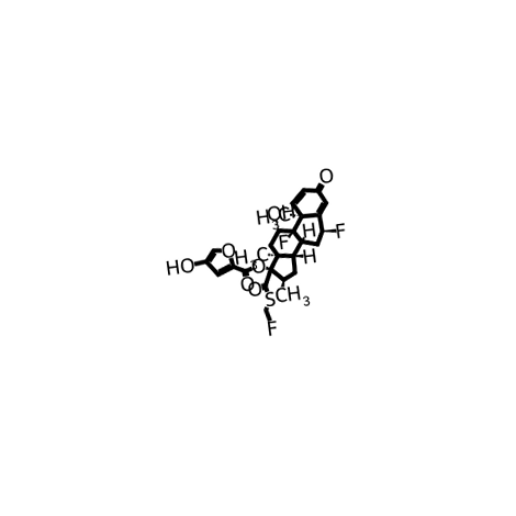 C[C@@H]1C[C@H]2[C@@H]3C[C@H](F)C4=CC(=O)C=C[C@]4(C)[C@@]3(F)[C@@H](O)C[C@]2(C)[C@@]1(OC(=O)c1cc(O)co1)C(=O)SCF